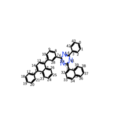 c1ccc(-c2nc(-c3cccc(-c4ccc(-c5ccccc5)c5ccccc45)c3)nc(-c3cccc4ccccc34)n2)cc1